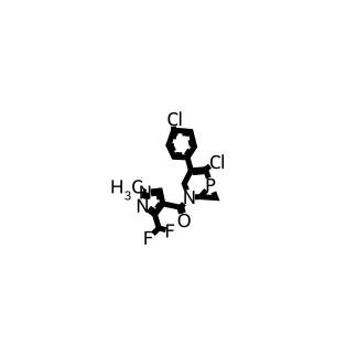 Cn1cc(C(=O)N2CC(c3ccc(Cl)cc3)=C(Cl)P3CC23)c(C(F)F)n1